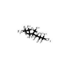 FC(F)(F)C(F)(F)C(F)(F)C(F)(F)C1(F)C(F)(F)OC(F)(C(F)(F)C(F)(F)F)C1(F)F